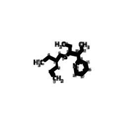 C=CC[C@@H](CC)CS/C(CC)=C(/CC)c1ccccn1